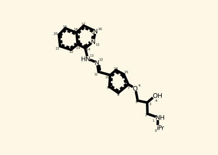 CC(C)NCC(O)COc1ccc(C=NNc2nncc3ccccc23)cc1